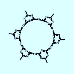 Cc1nc2nc(n1)sc1nc(C)nc(n1)sc1nc(C)nc(n1)sc1nc(C)nc(n1)sc1nc(C)nc(n1)sc1nc(C)nc(n1)s2